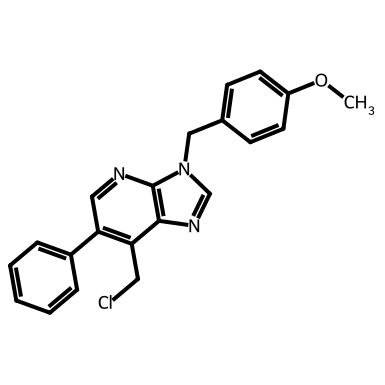 COc1ccc(Cn2cnc3c(CCl)c(-c4ccccc4)cnc32)cc1